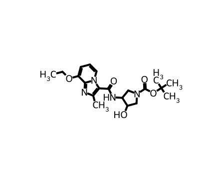 CCOc1cccn2c(C(=O)NC3CN(C(=O)OC(C)(C)C)CC3O)c(C)nc12